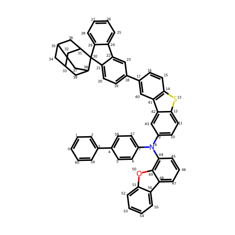 c1ccc(-c2ccc(N(c3ccc4sc5ccc(-c6ccc7c(c6)-c6ccccc6C76C7CC8CC(C7)CC6C8)cc5c4c3)c3cccc4c3oc3ccccc34)cc2)cc1